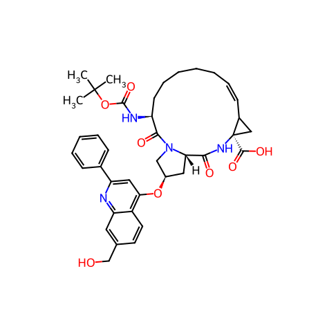 CC(C)(C)OC(=O)N[C@H]1CCCCC/C=C\C2C[C@@]2(C(=O)O)NC(=O)[C@@H]2C[C@@H](Oc3cc(-c4ccccc4)nc4cc(CO)ccc34)CN2C1=O